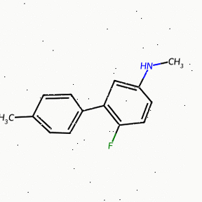 CNc1ccc(F)c(-c2ccc(C)cc2)c1